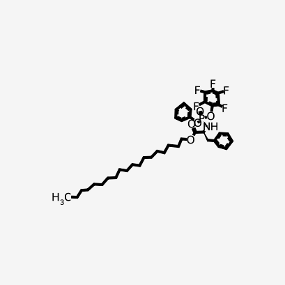 CCCCCCCCCCCCCCCCCCCOC(=O)[C@H](Cc1ccccc1)N[P@](=O)(Oc1ccccc1)Oc1c(F)c(F)c(F)c(F)c1F